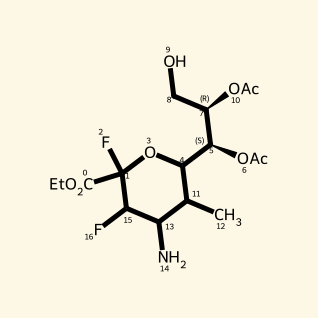 CCOC(=O)C1(F)OC([C@H](OC(C)=O)[C@@H](CO)OC(C)=O)C(C)C(N)C1F